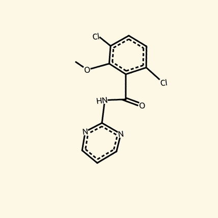 COc1c(Cl)ccc(Cl)c1C(=O)Nc1ncccn1